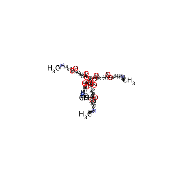 CC/C=C\CCCCOC(=O)CCCCCC(=O)OCC(COC(=O)CCCCCC(=O)OCCCC/C=C\CC)(COC(=O)CCCCCC(=O)OCCCC/C=C\CC)COC(=O)OCCCN(CC)CC